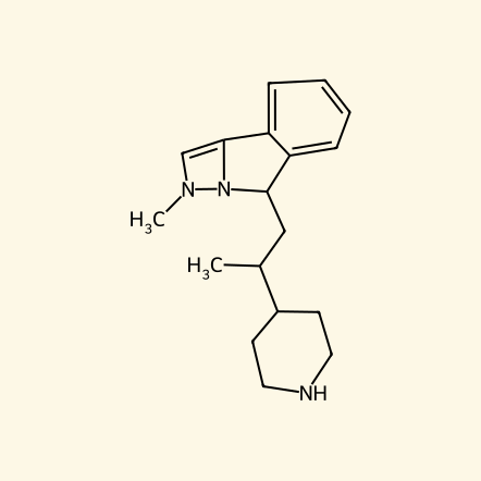 CC(CC1c2ccccc2-c2cn(C)n21)C1CCNCC1